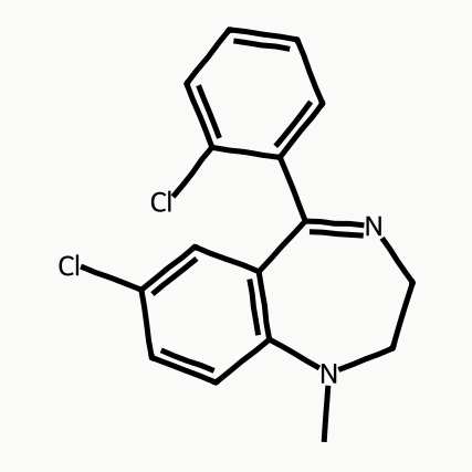 CN1CCN=C(c2ccccc2Cl)c2cc(Cl)ccc21